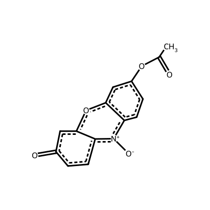 CC(=O)Oc1ccc2c(c1)oc1cc(=O)ccc-1[n+]2[O-]